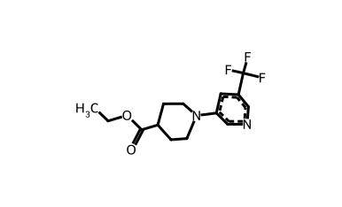 CCOC(=O)C1CCN(c2cncc(C(F)(F)F)c2)CC1